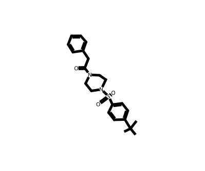 CC(C)(C)c1ccc(S(=O)(=O)N2CCN(C(=O)Cc3ccccc3)CC2)cc1